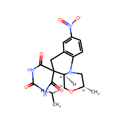 CC(C)[C@H]1O[C@@H](C)CN2c3ccc([N+](=O)[O-])cc3CC3(C(=O)NC(=O)NC3=O)[C@H]12